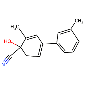 CC1=CC(c2cccc(C)c2)=CCC1(O)C#N